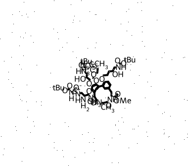 COC(=O)[C@@H]1Cc2ccc(OCCC[C@H](O)CNC(=O)OC(C)(C)C)c(c2)-c2cc(cc(OC[C@H](O)CNC(=O)OC(C)(C)C)c2OCOCC[Si](C)(C)C)[C@H](N(C)C(=O)[C@@H](N)CN[S+]([O-])NC(=O)OC(C)(C)C)C(=O)N[C@@H](C)C(=O)N1